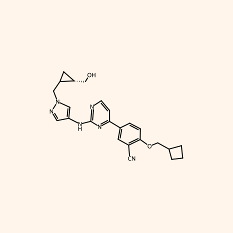 N#Cc1cc(-c2ccnc(Nc3cnn(CC4C[C@@H]4CO)c3)n2)ccc1OCC1CCC1